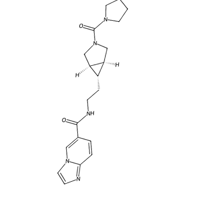 O=C(NCC[C@@H]1[C@H]2CN(C(=O)N3CCCC3)C[C@@H]12)c1ccc2nccn2c1